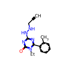 C#CCNNc1nc(-c2ccccc2C)n(CC)c(=O)n1